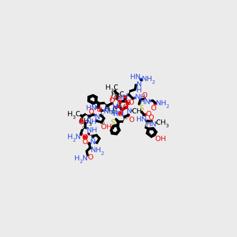 CCCC[C@@H](C(=O)N(C)[C@@H](CCCC)C(=O)N[C@@H](CCCNC(=N)N)C(=O)NC(CSCC(=O)N[C@@H](Cc1ccc(O)cc1)C(=O)NC)C(=O)NCC(N)=O)N(C)C(=O)[C@H](Cc1csc2ccccc12)NC(=O)[C@H](CO)NC(=O)[C@H](Cc1c[nH]c2ccccc12)NC(=O)[C@@H]1C[C@@H](O)CN1C(=O)[C@H](CC(C)C)NC(=O)[C@H](CC(N)=O)NC(=O)[C@@H]1CCCN1C(=O)[C@@H](N)CC(N)=O